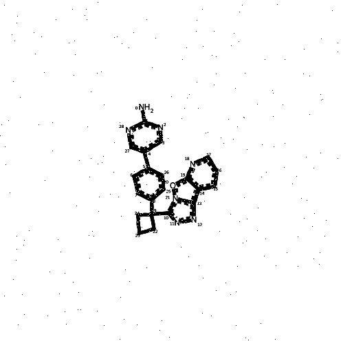 Nc1ncc(-c2ccc(C3(c4nnc5c6cccnc6on45)CCC3)cc2)cn1